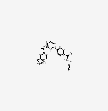 N#CCNC(=O)c1ccc(-c2ccnc(Nc3ccc4[nH]ncc4c3)n2)cc1